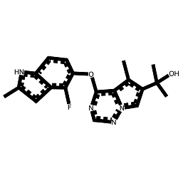 Cc1cc2c(F)c(Oc3ncnn4cc(C(C)(C)O)c(C)c34)ccc2[nH]1